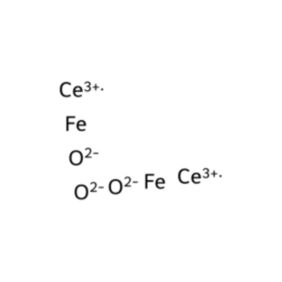 [Ce+3].[Ce+3].[Fe].[Fe].[O-2].[O-2].[O-2]